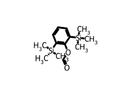 C[Si](C)(C)c1cccc([Si](C)(C)C)c1OC=O